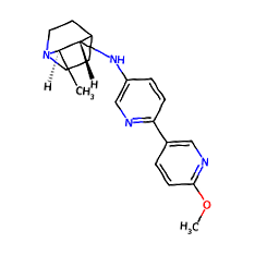 COc1ccc(-c2ccc(N[C@H]3C4CCN(CC4)[C@@H]3C)cn2)cn1